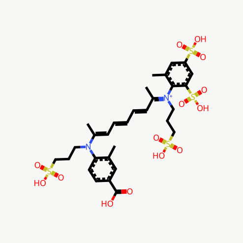 C\C(=C/C=C/C=C/C(C)=[N+](\CCCS(=O)(=O)O)c1c(C)cc(S(=O)(=O)O)cc1S(=O)(=O)O)N(CCCS(=O)(=O)O)c1ccc(C(=O)O)cc1C